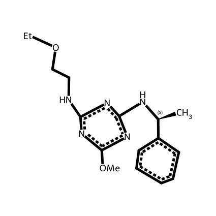 CCOCCNc1nc(N[C@@H](C)c2ccccc2)nc(OC)n1